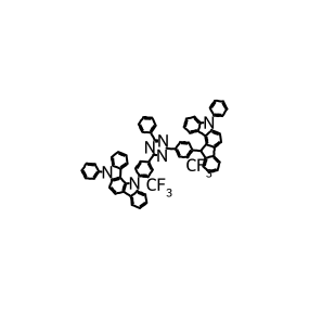 FC(F)(F)c1cc(-c2nc(-c3ccccc3)nc(-c3ccc(-n4c5ccccc5c5ccc6c(c7ccccc7n6-c6ccccc6)c54)c(C(F)(F)F)c3)n2)ccc1C1c2ccccc2-c2ccc3c(c21)c1ccccc1n3-c1ccccc1